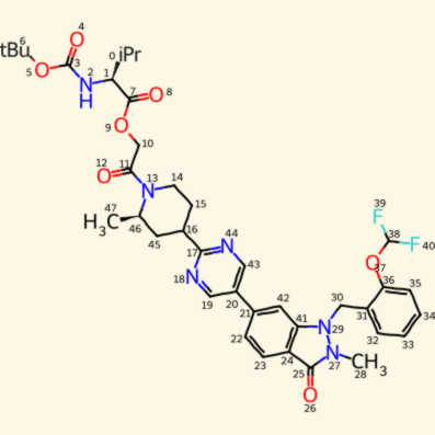 CC(C)[C@H](NC(=O)OC(C)(C)C)C(=O)OCC(=O)N1CCC(c2ncc(-c3ccc4c(=O)n(C)n(Cc5ccccc5OC(F)F)c4c3)cn2)C[C@H]1C